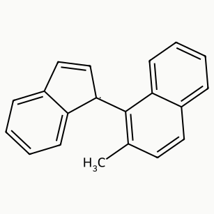 Cc1ccc2ccccc2c1[C]1C=Cc2ccccc21